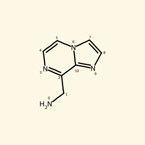 NCc1nccn2ccnc12